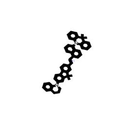 CC1(C)c2cc(/C=C/c3cccc4c(N5c6ccccc6C(C)(C)c6ccccc65)cccc34)ccc2-c2ccc(N3CCCc4ccccc43)cc21